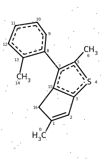 CC1=Cc2sc(C)c(-c3ccccc3C)c2C1